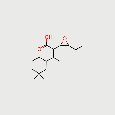 CCC1OC1C(C(=O)O)C(C)C1CCCC(C)(C)C1